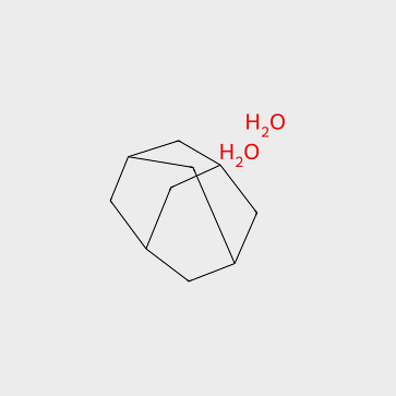 C1C2CC3CC1CC(C2)C3.O.O